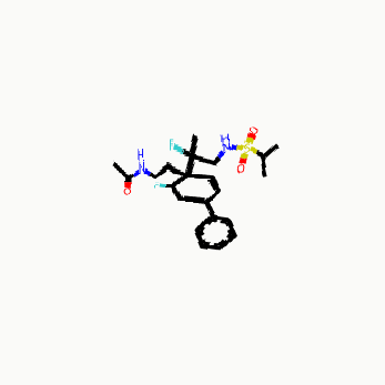 CC(=O)NCCC1(C(C)(F)CNS(=O)(=O)C(C)C)C=CC(c2ccccc2)=CC1F